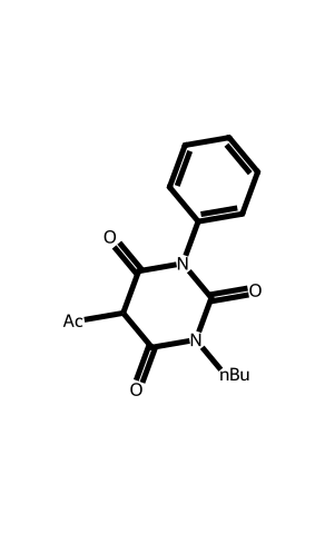 CCCCN1C(=O)C(C(C)=O)C(=O)N(c2ccccc2)C1=O